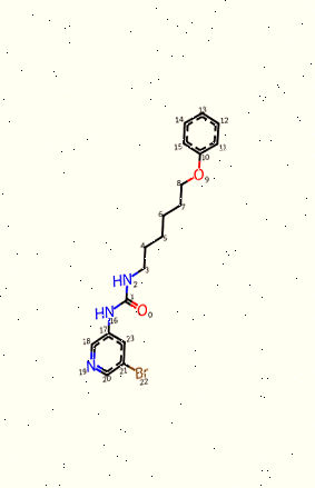 O=C(NCCCCCCOc1ccccc1)Nc1cncc(Br)c1